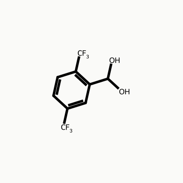 OC(O)c1cc(C(F)(F)F)ccc1C(F)(F)F